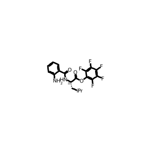 CC(C)C[C@H](NC(=O)c1ccccc1N)C(=O)Oc1c(F)c(F)c(F)c(F)c1F